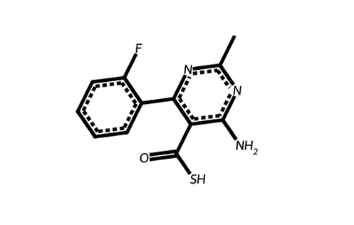 Cc1nc(N)c(C(=O)S)c(-c2ccccc2F)n1